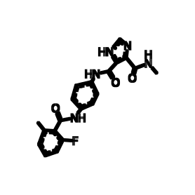 CNC(=O)c1nc[nH]c1C(=O)Nc1ccc(NC(=O)c2c(C)cccc2F)cc1